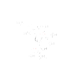 C=CCC(C)(C(=O)O)[C@H](CCO[Si](C)(C)C(C)(C)C)O[Si](C)(C)C(C)(C)C